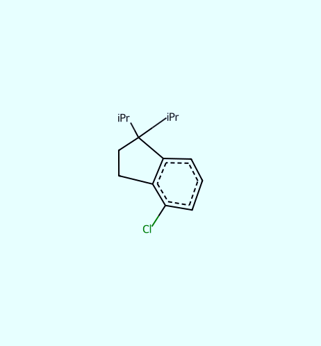 CC(C)C1(C(C)C)CCc2c(Cl)cccc21